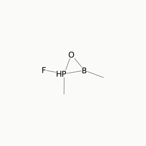 CB1O[PH]1(C)F